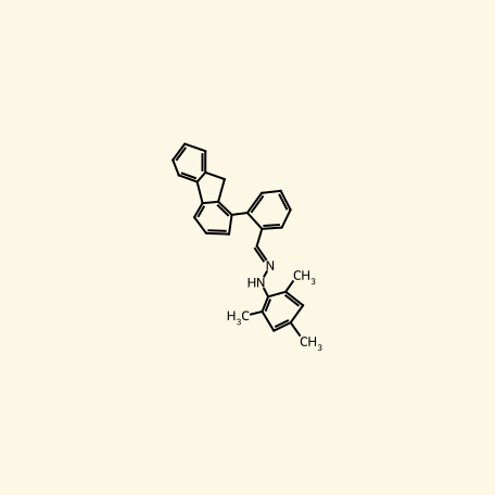 Cc1cc(C)c(N/N=C/c2ccccc2-c2cccc3c2Cc2ccccc2-3)c(C)c1